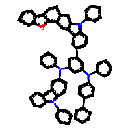 c1ccc(-c2ccc(N(c3ccccc3)c3cc(-c4ccc5c(c4)c4cc6c(ccc7c8ccccc8oc67)cc4n5-c4ccccc4)cc(N(c4ccccc4)c4ccc5c(c4)c4ccccc4n5-c4ccccc4)c3)cc2)cc1